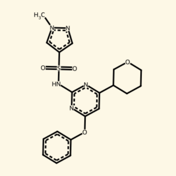 Cn1cc(S(=O)(=O)Nc2nc(Oc3ccccc3)cc(C3CCCOC3)n2)cn1